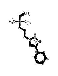 C=C[Si](C)(C)CCCN1C=C(c2ccccc2)NN1